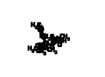 COc1cc(C)[nH]c(=O)c1CNC(=O)c1cc(-c2ccc(N3CCN(C)CC3)nc2)cc2c1[C@@H](C)CN2S(=O)(=O)C(C)(C)C